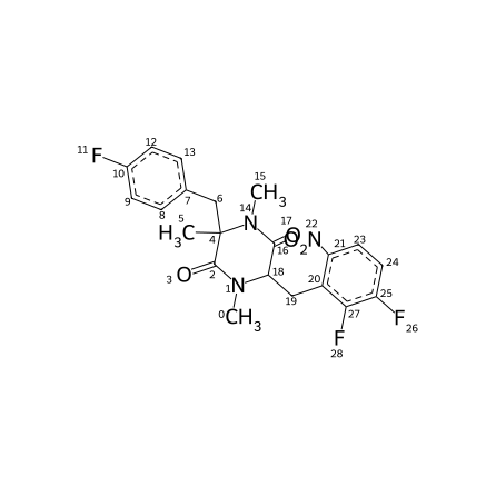 CN1C(=O)C(C)(Cc2ccc(F)cc2)N(C)C(=O)C1Cc1c([N+](=O)[O-])ccc(F)c1F